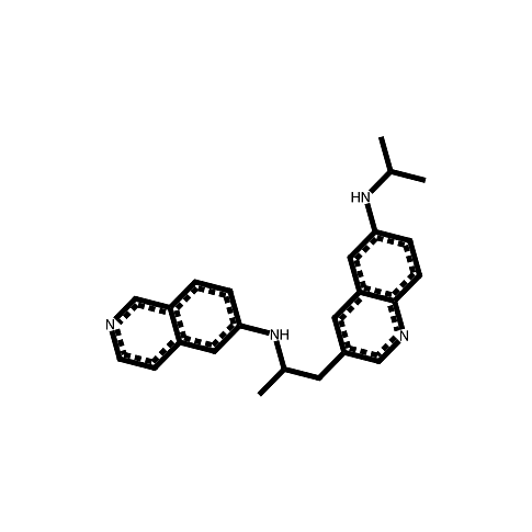 CC(C)Nc1ccc2ncc(CC(C)Nc3ccc4cnccc4c3)cc2c1